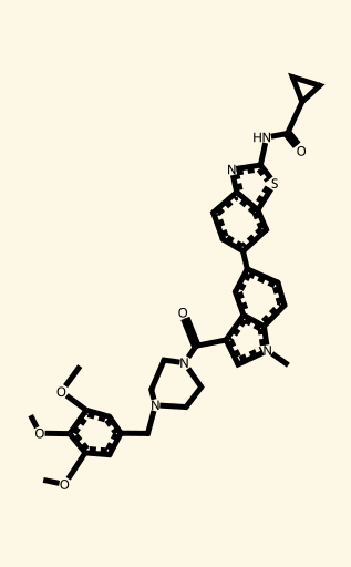 COc1cc(CN2CCN(C(=O)c3cn(C)c4ccc(-c5ccc6nc(NC(=O)C7CC7)sc6c5)cc34)CC2)cc(OC)c1OC